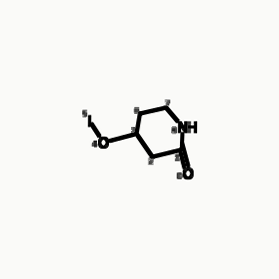 O=C1CC(OI)CCN1